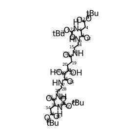 CC(C)(C)OC(=O)CC(NC(=O)OC(C)(C)C)C(=O)NCCNC(=O)CC[C@@H](O)[C@H](O)C(=O)NCCNC(=O)C(CC(=O)OC(C)(C)C)NC(=O)OC(C)(C)C